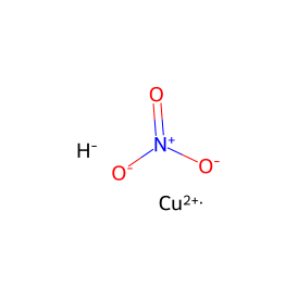 O=[N+]([O-])[O-].[Cu+2].[H-]